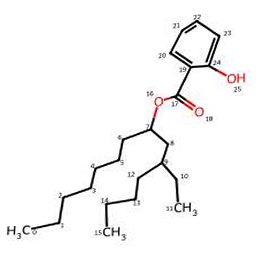 CCCCCCCC(CC(CC)CCCC)OC(=O)c1ccccc1O